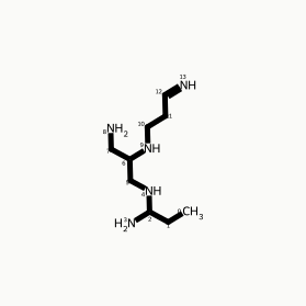 CCC(N)NCC(CN)NCCC=N